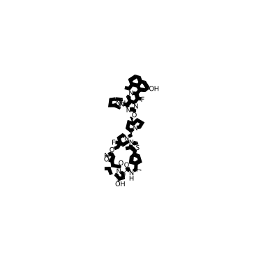 CCc1cccc2cc(O)cc(-c3ncc4c(N5CC6CCC(C5)N6)nc(OC[C@@]56CCCN5[C@H](CN5CCC(F)(COc7cc([C@H](C(=O)N8C[C@H](O)C[C@H]8C(=O)N[C@@H](C)c8ccc(-c9scnc9C)cc8)C(C)C)on7)CC5)CC6)nc4c3F)c12